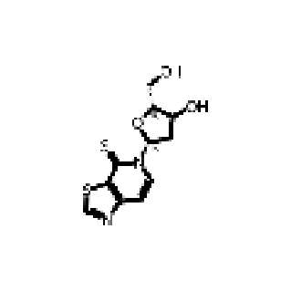 OC[C@H]1O[C@H](n2ccc3ncsc3c2=S)CC1O